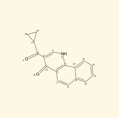 O=C(c1c[nH]c2c(ccc3ccccc32)c1=O)C1CC1